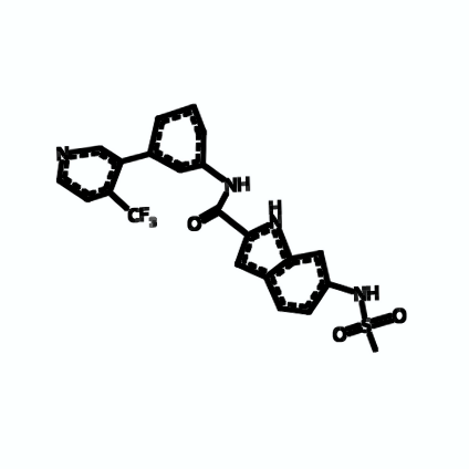 CS(=O)(=O)Nc1ccc2cc(C(=O)Nc3cccc(-c4cnccc4C(F)(F)F)c3)[nH]c2c1